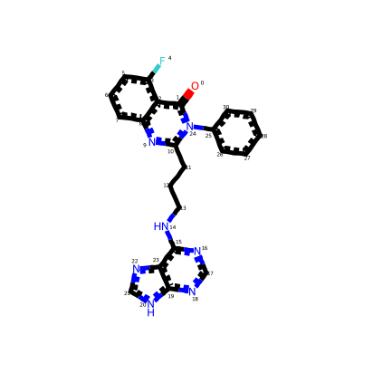 O=c1c2c(F)cccc2nc(CCCNc2ncnc3[nH]cnc23)n1-c1ccccc1